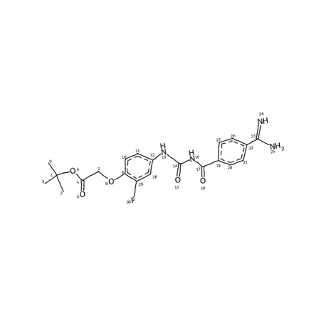 CC(C)(C)OC(=O)COc1ccc(NC(=O)NC(=O)c2ccc(C(=N)N)cc2)cc1F